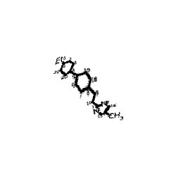 CCC1CCC(C2CCC(CCc3ncc(C)cn3)CC2)CC1